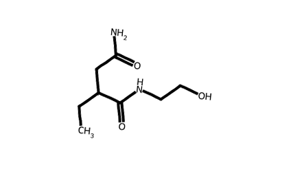 CC[C](CC(N)=O)C(=O)NCCO